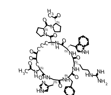 CC(=O)N[C@H]1CC(=O)C(=O)CCC[C@@H](C(=O)N2CCC[C@H]2C(=O)N2CCC[C@H]2C(C)=O)NC(=O)[C@H](Cc2c[nH]c3ccccc23)NC(=O)[C@H](CCCNC(=N)N)NC(=O)[C@@H](Cc2ccccc2)NC(=O)[C@H](Cc2c[nH]cn2)NC1=O